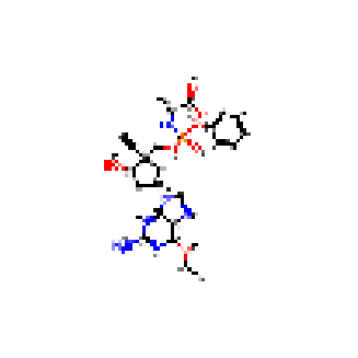 C#C[C@@]1(CO[P@@](=O)(N[C@@H](C)C(=O)O)Oc2ccccc2)C[C@H](n2cnc3c(OCC)nc(N)nc32)C[C@H]1O